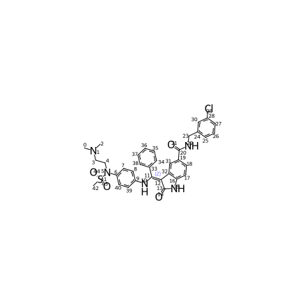 CN(C)CCN(c1ccc(N/C(=C2\C(=O)Nc3ccc(C(=O)NCc4cccc(Cl)c4)cc32)c2ccccc2)cc1)S(C)(=O)=O